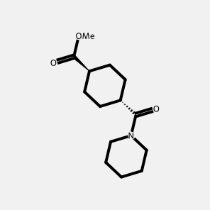 COC(=O)[C@H]1CC[C@H](C(=O)N2CCCCC2)CC1